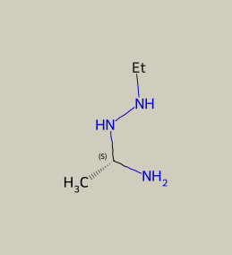 CCNN[C@@H](C)N